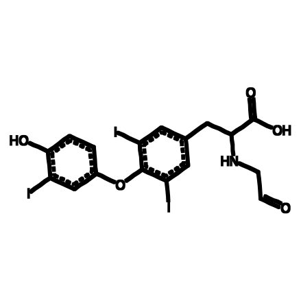 O=CCNC(Cc1cc(I)c(Oc2ccc(O)c(I)c2)c(I)c1)C(=O)O